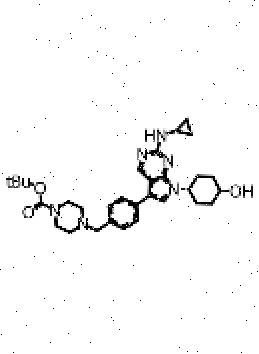 CC(C)(C)OC(=O)N1CCN(Cc2ccc(-c3cn([C@H]4CC[C@H](O)CC4)c4nc(NC5CC5)ncc34)cc2)CC1